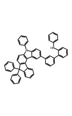 c1ccc(Nc2ccccc2-c2cccc(-c3ccc4c(c3)c3c5c(ccc3n4-c3ccccc3)C(c3ccccc3)(c3ccccc3)c3ccccc3-5)c2)cc1